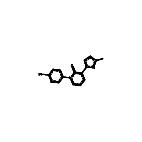 CC(C)c1ccc(-n2cccc(-c3ccn(C)n3)c2=O)cn1